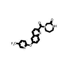 O=C1CN(C(=O)c2ccc3cc(Oc4ccc(C(F)(F)F)cn4)ccc3n2)CCCN1